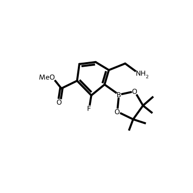 COC(=O)c1ccc(CN)c(B2OC(C)(C)C(C)(C)O2)c1F